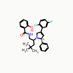 CC(C)(C)CC(CNC(=O)c1ccccc1O)N1CC(c2cc(F)ccc2F)=C[C@H]1c1ccccc1